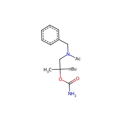 CCCCC(C)(CN(Cc1ccccc1)C(C)=O)OC(N)=O